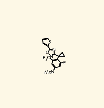 CNc1cc(F)c(C2(c3noc(-c4cccs4)n3)CC2)c(C(F)(F)F)c1